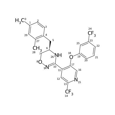 Cc1ccc(C[C@@H]2CON=C(c3cc(C(F)(F)F)ncc3Oc3cccc(C(F)(F)F)c3)N2)c(C)c1